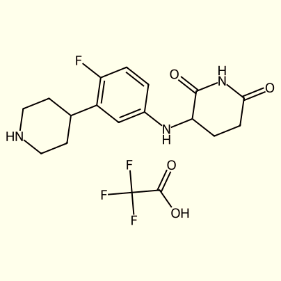 O=C(O)C(F)(F)F.O=C1CCC(Nc2ccc(F)c(C3CCNCC3)c2)C(=O)N1